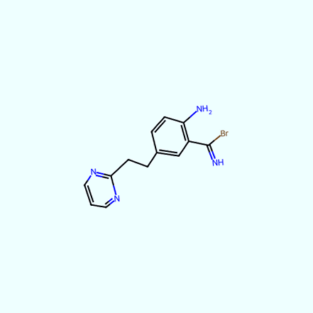 N=C(Br)c1cc(CCc2ncccn2)ccc1N